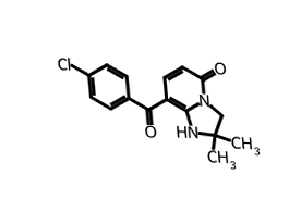 CC1(C)Cn2c(c(C(=O)c3ccc(Cl)cc3)ccc2=O)N1